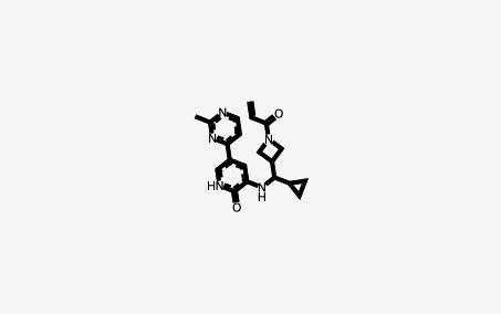 C=CC(=O)N1CC(C(Nc2cc(-c3ccnc(C)n3)c[nH]c2=O)C2CC2)C1